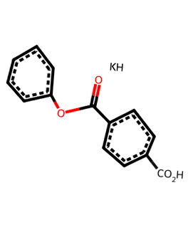 O=C(O)c1ccc(C(=O)Oc2ccccc2)cc1.[KH]